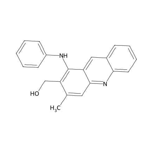 Cc1cc2nc3ccccc3cc2c(Nc2ccccc2)c1CO